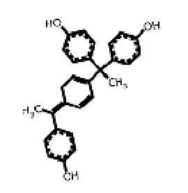 CC(=C1C=CC(C(C)(c2ccc(O)cc2)c2ccc(O)cc2)=CC1)c1ccc(O)cc1